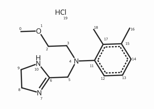 COCCN(CC1=NCCN1)c1cccc(C)c1C.Cl